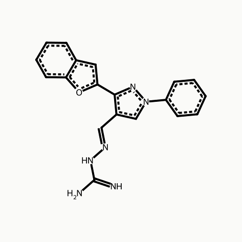 N=C(N)N/N=C/c1cn(-c2ccccc2)nc1-c1cc2ccccc2o1